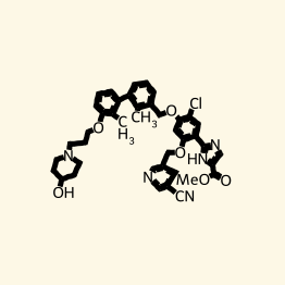 COC(=O)c1cnc(-c2cc(Cl)c(OCc3cccc(-c4cccc(OCCCN5CCC(O)CC5)c4C)c3C)cc2OCc2cncc(C#N)c2)[nH]1